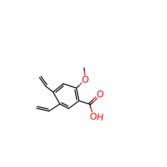 C=Cc1cc(OC)c(C(=O)O)cc1C=C